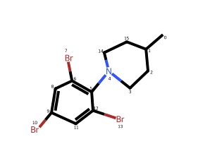 CC1CCN(c2c(Br)cc(Br)cc2Br)CC1